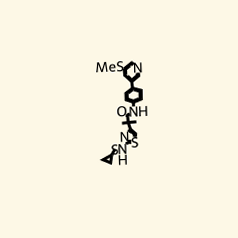 CSc1cncc(-c2ccc(NC(=O)C(C)(C)c3csc(NSC4CC4)n3)cc2)c1